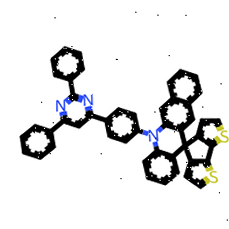 c1ccc(-c2cc(-c3ccc(N4c5ccccc5C5(c6cc7ccccc7cc64)c4ccsc4-c4sccc45)cc3)nc(-c3ccccc3)n2)cc1